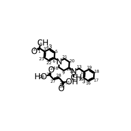 CC(=O)c1ccc(N2CCC(N(C)Cc3ccccc3)CC2)cc1.O=C(O)C=CC(=O)O